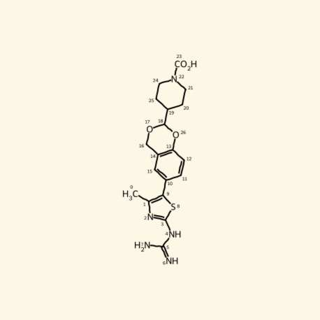 Cc1nc(NC(=N)N)sc1-c1ccc2c(c1)COC(C1CCN(C(=O)O)CC1)O2